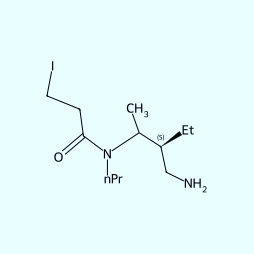 CCCN(C(=O)CCI)C(C)[C@@H](CC)CN